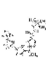 CC(c1ccc(-c2noc(C(F)(F)F)n2)s1)n1cc(C(=O)NCC(C)(C)C)cn1